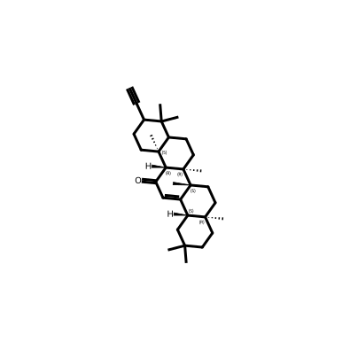 C#CC1CC[C@@]2(C)C(CC[C@]3(C)[C@@H]2C(=O)C=C2[C@H]4CC(C)(C)CC[C@]4(C)CC[C@]23C)C1(C)C